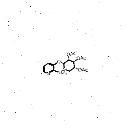 CC(=O)O[C@@H]1[C@@H](OC(C)=O)[C@H](OC(C)=O)CS[C@H]1Oc1cccnc1[N+](=O)[O-]